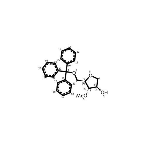 CO[C@H]1[C@H](O)CO[C@@H]1COC(c1ccccc1)(c1ccccc1)c1ccccc1